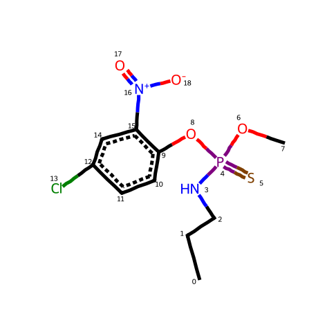 CCCNP(=S)(OC)Oc1ccc(Cl)cc1[N+](=O)[O-]